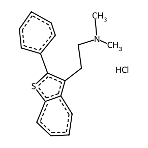 CN(C)CCc1c(-c2ccccc2)sc2ccccc12.Cl